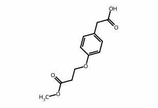 COC(=O)CCOc1ccc(CC(=O)O)cc1